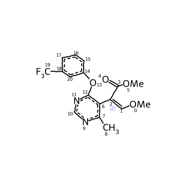 CO/C=C(\C(=O)OC)c1c(C)ncnc1Oc1cccc(C(F)(F)F)c1